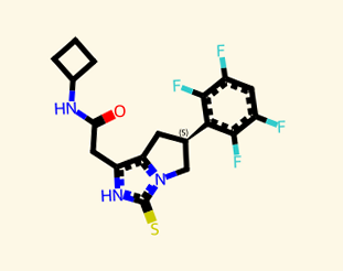 O=C(Cc1[nH]c(=S)n2c1C[C@@H](c1c(F)c(F)cc(F)c1F)C2)NC1CCC1